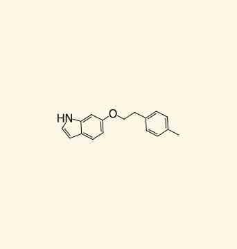 Cc1ccc(CCOc2ccc3cc[nH]c3c2)cc1